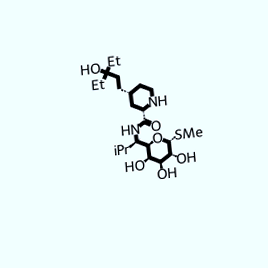 CCC(O)(CC)CC[C@@H]1CCN[C@H](C(=O)N[C@H](C(C)C)[C@H]2O[C@H](SC)[C@H](O)[C@@H](O)[C@H]2O)C1